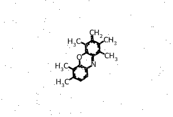 C=c1c(C)c(C)c2c(c1C)Oc1c(ccc(C)c1C)N=2